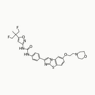 CC(CF)(CF)c1cc(NC(=O)Nc2ccc(-c3cn4c(n3)sc3ccc(OCCN5CCOCC5)cc34)cc2)no1